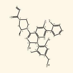 C=CC(=O)N1CCN(C2=NC(O)N(c3c(C)cc(CO)cc3C(C)C)c3nc(-c4ccccc4F)c(Cl)cc32)[C@@H](C)C1